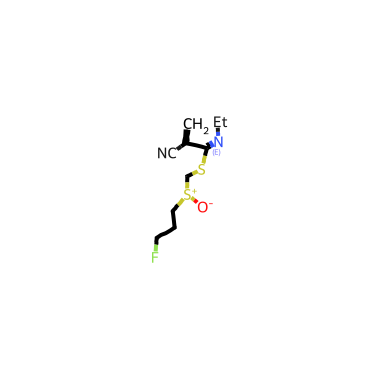 C=C(C#N)/C(=N\CC)SC[S+]([O-])CCCF